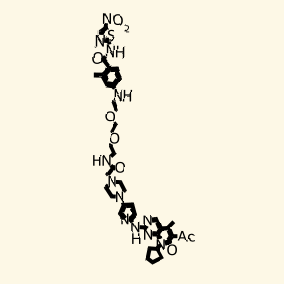 CC(=O)c1c(C)c2cnc(Nc3ccc(N4CCN(CC(=O)NCCOCCOCCNc5ccc(C(=O)Nc6ncc([N+](=O)[O-])s6)c(C)c5)CC4)cn3)nc2n(C2CCCC2)c1=O